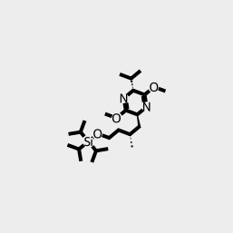 COC1=N[C@H](C(C)C)C(OC)=N[C@H]1C[C@H](C)CCO[Si](C(C)C)(C(C)C)C(C)C